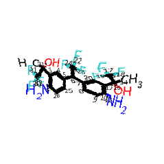 CC(O)(c1cc(C(c2ccc(N)c(C(C)(O)C(F)(F)F)c2)C(F)(F)F)ccc1N)C(F)(F)F